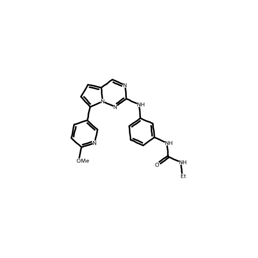 CCNC(=O)Nc1cccc(Nc2ncc3ccc(-c4ccc(OC)nc4)n3n2)c1